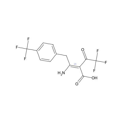 N/C(Cc1ccc(C(F)(F)F)cc1)=C(\C(=O)O)C(=O)C(F)(F)F